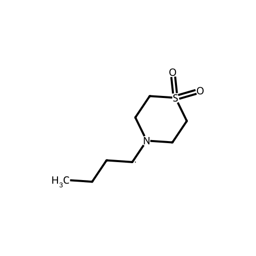 CCC[CH]N1CCS(=O)(=O)CC1